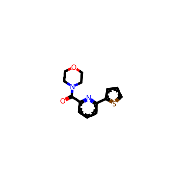 O=C(c1cccc(-c2cccs2)n1)N1CCOCC1